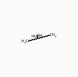 CCCCCCCCCCC(CCCCCCCC)C(O)O